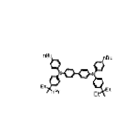 CCCCc1ccc(N(c2ccc(-c3ccc(N(c4ccc(CCCC)cc4)c4ccc(C(C)(CC)CCC)cc4)cc3)cc2)c2ccc(C(C)(CC)CC)cc2)cc1